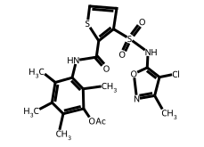 CC(=O)Oc1c(C)c(C)c(C)c(NC(=O)c2sccc2S(=O)(=O)Nc2onc(C)c2Cl)c1C